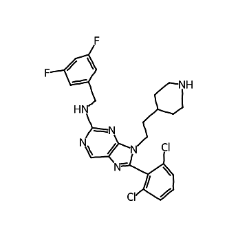 Fc1cc(F)cc(CNc2ncc3nc(-c4c(Cl)cccc4Cl)n(CCC4CCNCC4)c3n2)c1